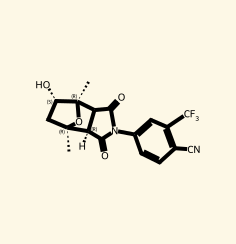 C[C@]12C[C@H](O)[C@](C)(O1)C1C(=O)N(c3ccc(C#N)c(C(F)(F)F)c3)C(=O)[C@H]12